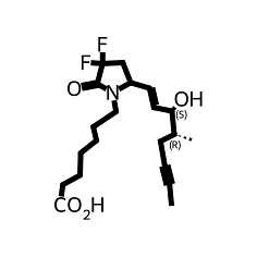 CC#CC[C@@H](C)[C@H](O)C=CC1CC(F)(F)C(=O)N1CCCCCCC(=O)O